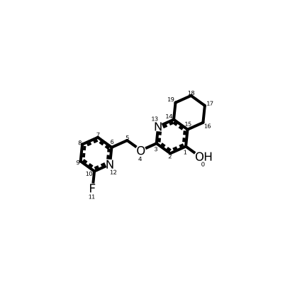 Oc1cc(OCc2cccc(F)n2)nc2c1CCCC2